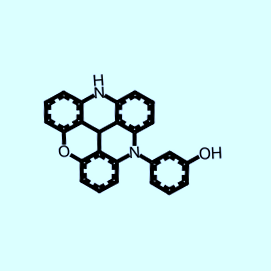 Oc1cccc(N2c3cccc4c3C3c5c(cccc5Oc5cccc2c53)N4)c1